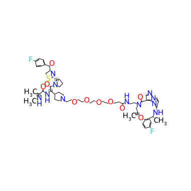 CN[C@@H](C)C(=O)N[C@H](C(=O)N1CCC[C@H]1C1=NC(C(=O)c2ccc(F)cc2)CS1)C1CCN(CCOCCOCCOCCOCCC(=O)NCCN2C[C@H](C)Oc3ccc(F)cc3C(C)Nc3ccn4ncc(c4n3)C2=O)CC1